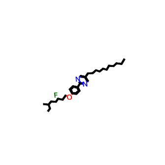 CCCCCCCCCCCc1cnc(-c2ccc(OCCC(F)CCC(C)CC)cc2)nc1